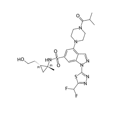 CC(C)C(=O)N1CCN(c2cc(S(=O)(=O)N[C@]3(C)C[C@@H]3CCO)cc3c2cnn3-c2nnc(C(F)F)s2)CC1